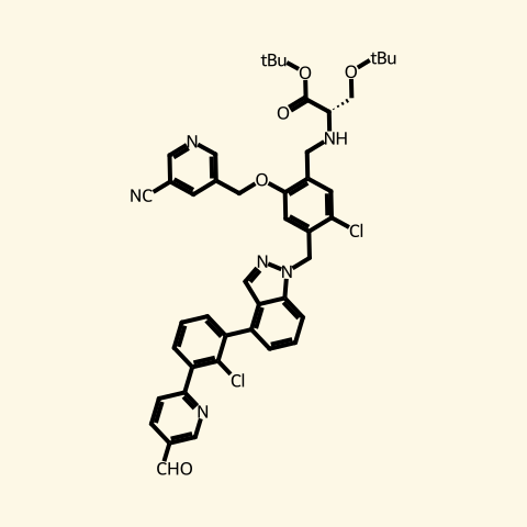 CC(C)(C)OC[C@H](NCc1cc(Cl)c(Cn2ncc3c(-c4cccc(-c5ccc(C=O)cn5)c4Cl)cccc32)cc1OCc1cncc(C#N)c1)C(=O)OC(C)(C)C